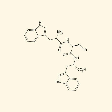 CC(C)C[C@H](NC(=O)[C@@H](N)Cc1c[nH]c2ccccc12)C(=O)N[C@@H](Cc1c[nH]c2ccccc12)C(=O)O